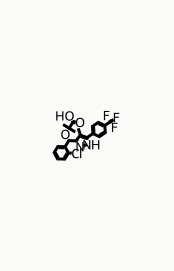 Cc1c(C(OC(C)(C)C(=O)O)c2ccccc2Cl)n[nH]c1-c1ccc(C(F)(F)F)cc1